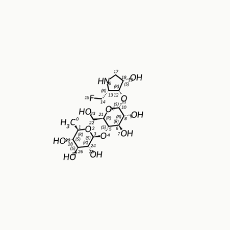 C[C@H]1O[C@@H](O[C@H]2[C@H](O)[C@@H](O)[C@@H](O[C@@H]3[C@H](CF)NC[C@@H]3O)O[C@@H]2CO)[C@H](O)[C@@H](O)[C@@H]1O